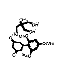 CC(CO)(CO)CO.COc1cc(OC)c(C2CC(=O)CC(=O)C2)c(OC)c1